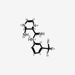 N=C(Nc1cccc(C(F)(F)F)c1)c1nccnc1N